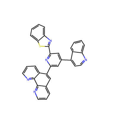 c1cnc2c(c1)cc(-c1cc(-c3ccnc4ccccc34)cc(-c3nc4ccccc4s3)n1)c1cccnc12